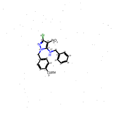 COc1ccc(Cn2nc(Br)c([N+](=O)[O-])c2NCc2ccccc2)cc1